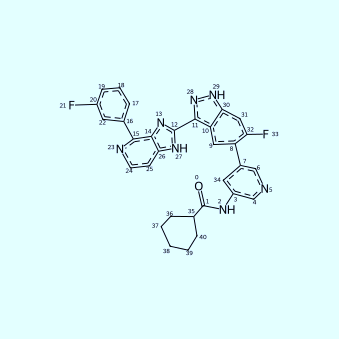 O=C(Nc1cncc(-c2cc3c(-c4nc5c(-c6cccc(F)c6)nccc5[nH]4)n[nH]c3cc2F)c1)C1CCCCC1